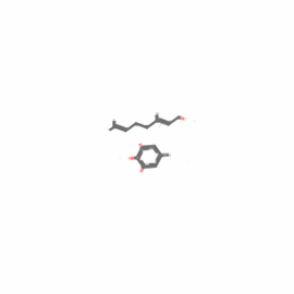 CC(C)=CCC/C(C)=C/CO.O=C(O)c1cc(O)c(O)c(O)c1